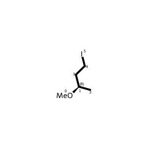 CO[C@H](C)CCI